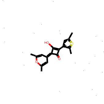 CC1=CC(=C2C(=O)C(c3cc(C)sc3C)=C2O)C=C(C)O1